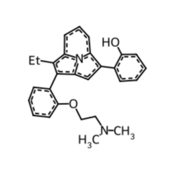 CCc1c(-c2ccccc2OCCN(C)C)c2cc(-c3ccccc3O)c3cccc1n32